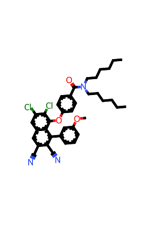 CCCCCCN(CCCCCC)C(=O)c1ccc(Oc2c(Cl)c(Cl)cc3cc(C#N)c(C#N)c(-c4cccc(OC)c4)c23)cc1